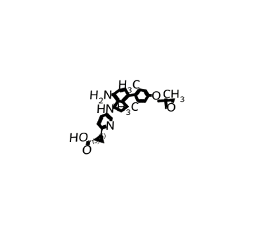 Cc1cc(OCC2(C)COC2)cc(C)c1-c1ccc(N)c2c1CC[C@H]2Nc1ccc([C@H]2C[C@@H]2C(=O)O)nc1